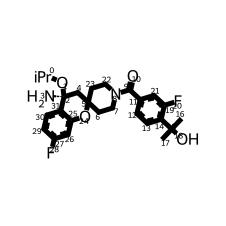 CC(C)O[C@@]1(N)CC2(CCN(C(=O)c3ccc(C(C)(C)O)c(F)c3)CC2)Oc2cc(F)ccc21